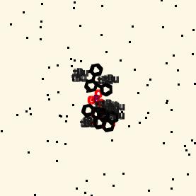 CC(C)(C)C1=C(c2ccccc2C(C)(C)C)C(c2ccccc2C(C)(C)C)(C(C)(C)C)C(OP(OC2C=CC(C(C)(C)C)=C(c3ccccc3C(C)(C)C)C2(c2ccccc2C(C)(C)C)C(C)(C)C)OC2C=CC(C(C)(C)C)=C(c3ccccc3C(C)(C)C)C2(c2ccccc2C(C)(C)C)C(C)(C)C)C=C1